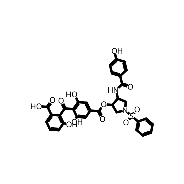 O=C(NC1CN(S(=O)(=O)c2ccccc2)CC1OC(=O)c1cc(O)c(C(=O)c2c(O)cccc2C(=O)O)c(O)c1)c1ccc(O)cc1